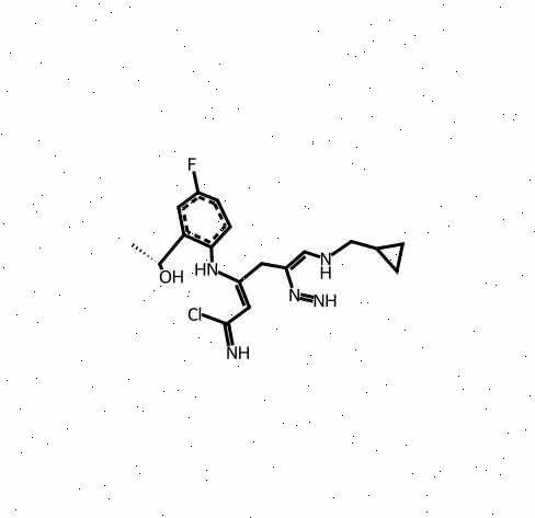 C[C@@H](O)c1cc(F)ccc1N/C(=C\C(=N)Cl)C/C(=C/NCC1CC1)N=N